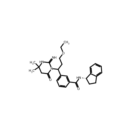 CCOCCC(c1cccc(C(=O)N[C@H]2CCc3ccccc32)c1)N1C(=N)NC(C)(C)CC1=O